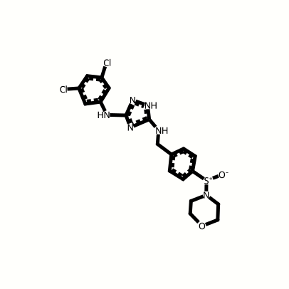 [O-][S+](c1ccc(CNc2nc(Nc3cc(Cl)cc(Cl)c3)n[nH]2)cc1)N1CCOCC1